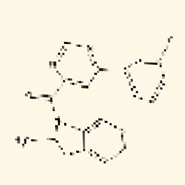 CC1Cc2ccccc2N1C(=O)c1cc(-c2cccc(Cl)c2)ncn1